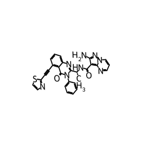 C[C@H](NC(=O)c1c(N)nn2cccnc12)c1nc2cccc(C#Cc3nccs3)c2c(=O)n1-c1ccccc1